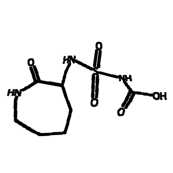 O=C(O)NS(=O)(=O)NC1CCCCNC1=O